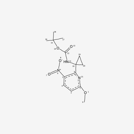 COc1ccc([N+](=O)[O-])c(C2(NC(=O)OC(C)(C)C)CC2)n1